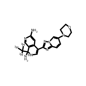 [2H]C([2H])([2H])C1(N)NC=C(c2nc3ccc(N4CCOCC4)cn3n2)c2cc(N)ncc21